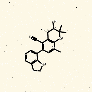 Cc1cc(-c2cccc3c2NCC3)c(C#N)c2c1NC(C)(C)[C@H](O)[C@H]2C